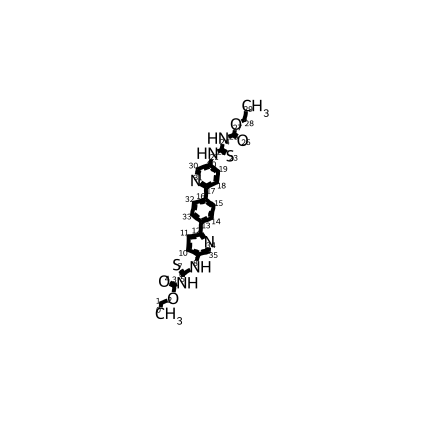 CCOC(=O)NC(=S)Nc1ccc(-c2ccc(-c3ccc(NC(=S)NC(=O)OCC)cn3)cc2)nc1